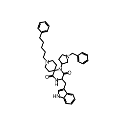 O=C1C(Cc2c[nH]c3ccccc23)NC(=O)C2(CCN(CCCCCc3ccccc3)CC2)N1C1CCN(Cc2ccccc2)C1